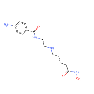 Nc1ccc(C(=O)NCCNCCCCC(=O)NO)cc1